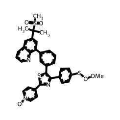 COOSc1ccc(-c2nc(-c3cc[n+]([O-])cc3)sc2-c2cccc(-c3cc(C(C)(C)S(C)(=O)=O)cc4cccnc34)c2)cc1